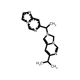 CC(C)C1=CC2=CN(C(C)c3cc4nccn4cn3)CN2C=N1